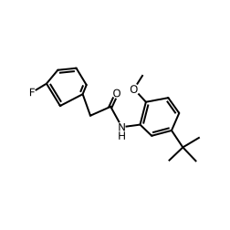 COc1ccc(C(C)(C)C)cc1NC(=O)Cc1cccc(F)c1